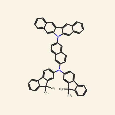 CC1(C)c2ccccc2-c2ccc(N(c3ccc4c(c3)C(C)(C)c3ccccc3-4)c3ccc4cc(-n5c6cc7ccccc7cc6c6cc7ccccc7cc65)ccc4c3)cc21